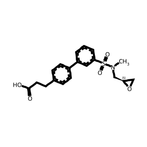 CN(C[C@H]1CO1)S(=O)(=O)c1cccc(-c2ccc(CCC(=O)O)cc2)c1